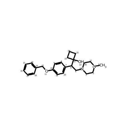 CN1CCN(CC(c2ccc(OCc3ccccc3)cc2)C2(O)CCC2)CC1